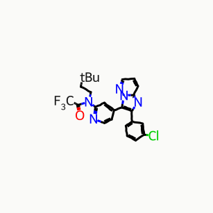 CC(C)(C)CCN(C(=O)C(F)(F)F)c1cc(-c2c(-c3cccc(Cl)c3)nc3cccnn23)ccn1